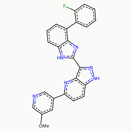 COc1cncc(-c2ccc3[nH]nc(-c4nc5c(-c6ccccc6F)cccc5[nH]4)c3n2)c1